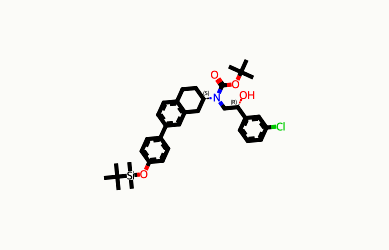 CC(C)(C)OC(=O)N(C[C@H](O)c1cccc(Cl)c1)[C@H]1CCc2ccc(-c3ccc(O[Si](C)(C)C(C)(C)C)cc3)cc2C1